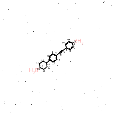 Bc1ccc(C#Cc2ccc(C3CCC(B)CC3)cc2)cc1